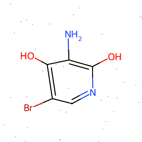 Nc1c(O)ncc(Br)c1O